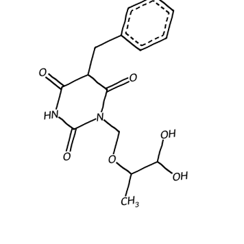 CC(OCN1C(=O)NC(=O)C(Cc2ccccc2)C1=O)C(O)O